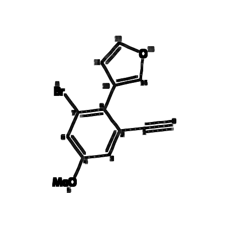 C#Cc1cc(OC)cc(Br)c1-c1ccoc1